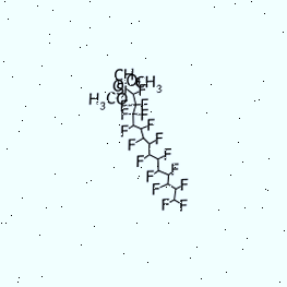 CO[Si](OC)(OC)C(F)C(F)(F)C(F)(F)C(F)C(F)C(F)C(F)C(F)C(F)C(F)C(F)C(F)C(F)C(F)F